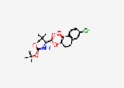 CC(C)(C)OC(=O)N[C@H](C(=O)OC1CCc2cc(Br)ccc2C1=O)C(C)(C)C